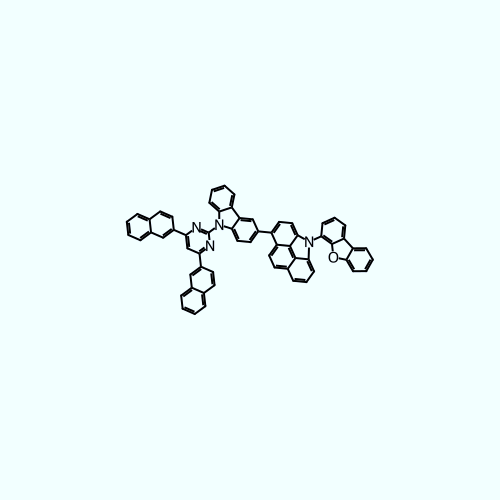 c1ccc2cc(-c3cc(-c4ccc5ccccc5c4)nc(-n4c5ccccc5c5cc(-c6ccc7c8c6ccc6cccc(c68)n7-c6cccc7c6oc6ccccc67)ccc54)n3)ccc2c1